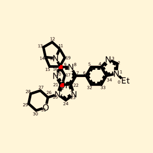 CCn1cnc2cc(-c3nc(N4C5CCC4CC(CO)C5)nc4c3ncn4C3CCCCO3)ccc21